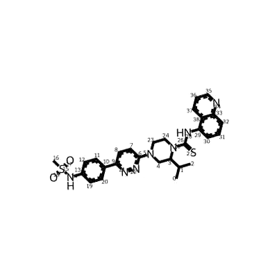 CC(C)C1CN(c2ccc(-c3ccc(NS(C)(=O)=O)cc3)nn2)CCN1C(=S)Nc1cccc2ncccc12